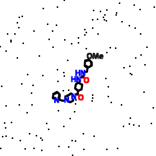 COc1ccc(CNC(=O)NC2CCC(C(=O)N3CCN(Cc4ccccn4)CC3)CC2)cc1